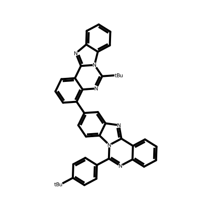 CC(C)(C)c1ccc(-c2nc3ccccc3c3nc4cc(-c5cccc6c5nc(C(C)(C)C)n5c7ccccc7nc65)ccc4n23)cc1